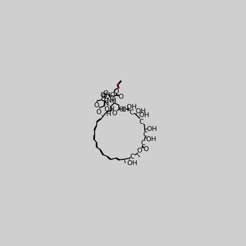 C=CCOC(=O)N[C@@H]1[C@H](O)[C@H](O[C@H]2/C=C/C=C/C=C/C=C/C=C/C=C/C=C/[C@H](C)[C@@H](O)C[C@H](C)OC(=O)C[C@H](O)C[C@H](O)CC[C@@H](O)[C@H](O)C[C@H](O)C[C@]3(O)C[C@H](OC(=O)OCC=C)[C@@H](N=C=O)[C@H](C2)O3)OC[C@H]1O